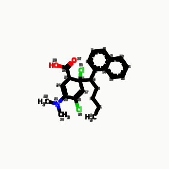 CCCCC(c1cccc2ccccc12)C1(Cl)C=C(Cl)C(N(C)C)=CC1C(=O)O